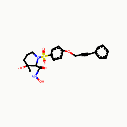 CC1(O)CCCN(S(=O)(=O)c2ccc(OCC#Cc3ccccc3)cc2)C1C(=O)NO